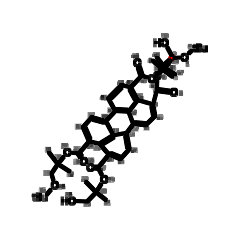 CC(C)(C)OCC(C)(C)OC(=O)c1ccc2c3ccc(C(=O)OC(C)(C)CO)c4c(C(=O)OC(C)(C)COC(C)(C)C)ccc(c5ccc(C(=O)OC(C)(C)CO)c1c52)c43